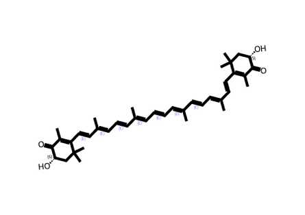 CC(C=CC1=C(C)C(=O)[C@@H](O)CC1(C)C)=C/C=C/C(C)=C/C=C/C=C(C)/C=C/C=C(C)/C=C/C1=C(C)C(=O)[C@@H](O)CC1(C)C